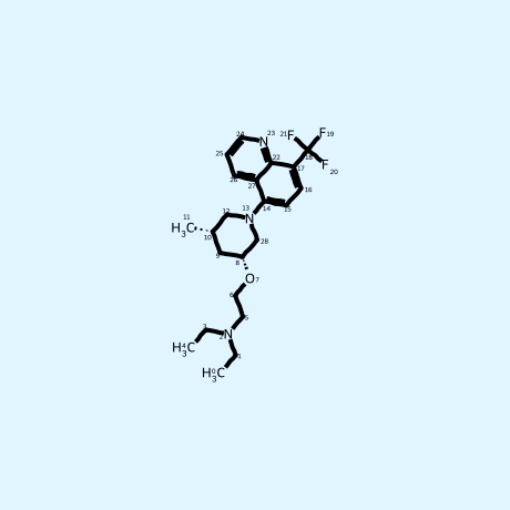 CCN(CC)CCO[C@@H]1C[C@H](C)CN(c2ccc(C(F)(F)F)c3ncccc23)C1